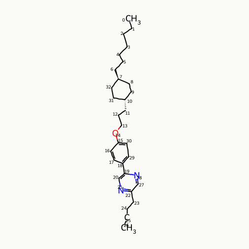 CCCCCCC[C@H]1CC[C@H](CCCOc2ccc(-c3cnc(CCCC)cn3)cc2)CC1